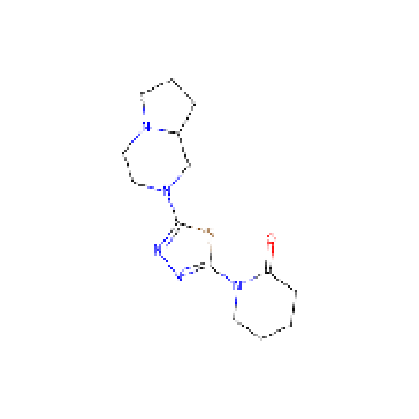 O=C1CCCCN1c1nnc(N2CCN3CCCC3C2)s1